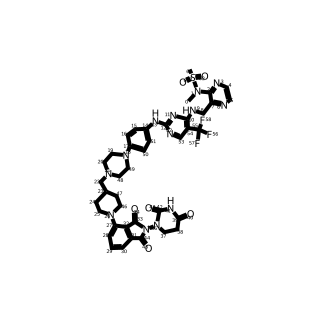 CN(c1nccnc1CNc1nc(Nc2ccc(N3CCN(CC4CCN(c5cccc6c5C(=O)N(N5CCC(=O)NC5=O)C6=O)CC4)CC3)cc2)ncc1C(F)(F)F)S(C)(=O)=O